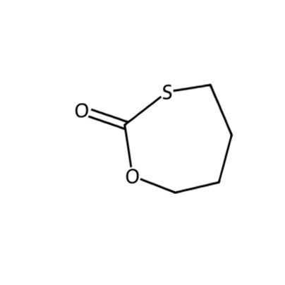 O=C1OCCCCS1